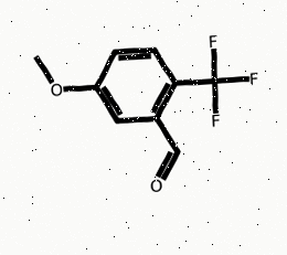 COc1ccc(C(F)(F)F)c(C=O)c1